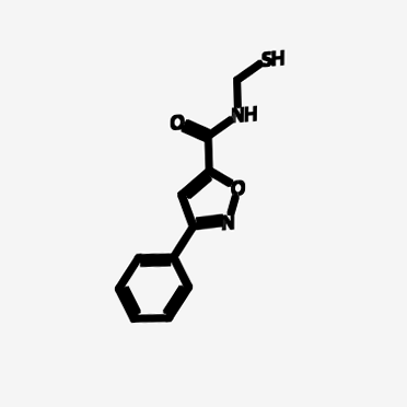 O=C(NCS)c1cc(-c2ccccc2)no1